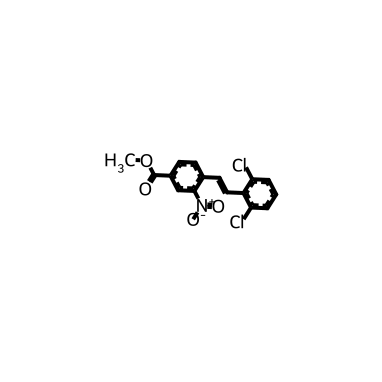 COC(=O)c1ccc(C=Cc2c(Cl)cccc2Cl)c([N+](=O)[O-])c1